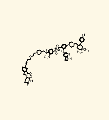 CC1(C)CCC(CN2CCN(c3ccc(C(=O)NS(=O)(=O)c4ccc(NCC5CCN(CCOCCC#Cc6ccc7c(c6)C(=O)N(C6CCC(=O)NC6=O)C7)CC5)c([N+](=O)[O-])c4)c(Oc4cnc5[nH]ccc5c4)c3)CC2)=C(c2ccc(Cl)cc2)C1